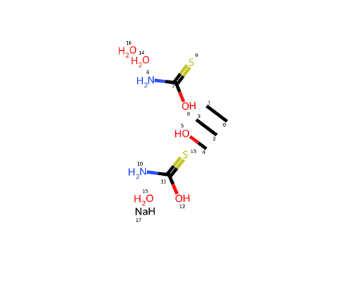 CC.CC.CO.NC(O)=S.NC(O)=S.O.O.O.[NaH]